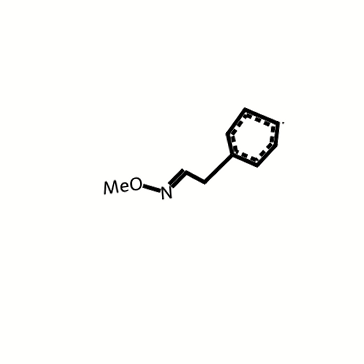 CO/N=C/Cc1cc[c]cc1